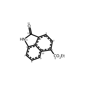 CCOC(=O)c1ccc2c3c(cccc13)NC2=O